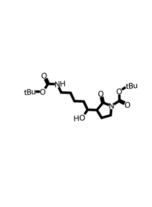 CC(C)(C)OC(=O)NCCCCC(O)C1CCN(C(=O)OC(C)(C)C)C1=O